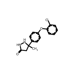 CC1(c2ccc(Oc3ccccc3Cl)cc2)CC(=O)NN1